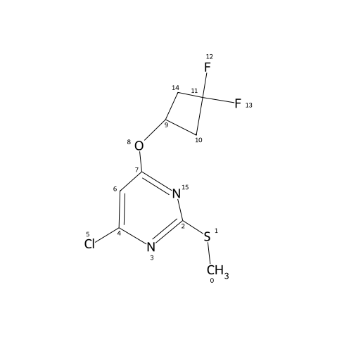 CSc1nc(Cl)cc(OC2CC(F)(F)C2)n1